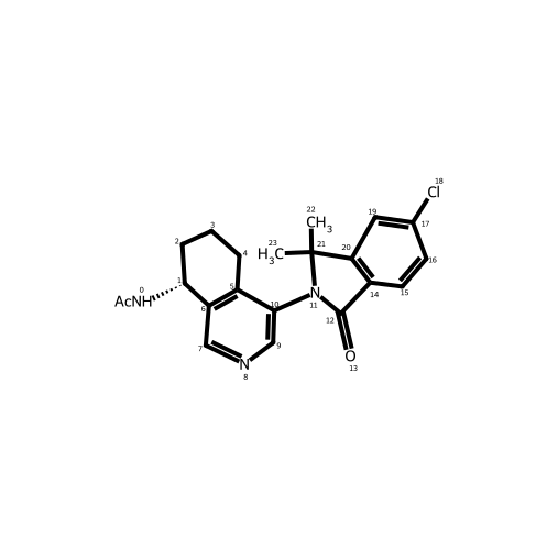 CC(=O)N[C@@H]1CCCc2c1cncc2N1C(=O)c2ccc(Cl)cc2C1(C)C